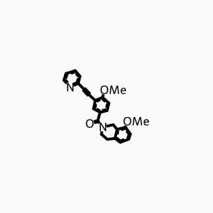 COc1ccc(C(=O)N2CCc3cccc(OC)c3C2)cc1C#Cc1ccccn1